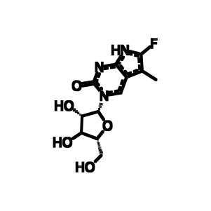 Cc1c(F)[nH]c2nc(=O)n([C@@H]3O[C@H](CO)C(O)[C@@H]3O)cc12